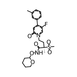 Cc1cccc(-c2cc(=O)n(CC[C@](C)(C(=O)NOC3CCCCO3)S(C)(=O)=O)cc2F)c1